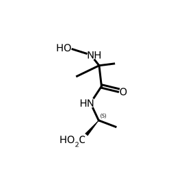 C[C@H](NC(=O)C(C)(C)NO)C(=O)O